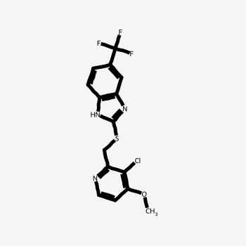 COc1ccnc(CSc2nc3cc(C(F)(F)F)ccc3[nH]2)c1Cl